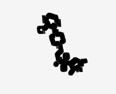 Cc1nn(C)cc1S(=O)(=O)N(C)CCN1CCN(c2nccnc2Cl)CC1